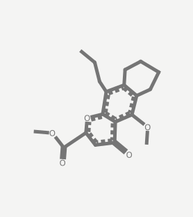 CCCc1c2c(c(OC)c3c(=O)cc(C(=O)OC)oc13)CCCC2